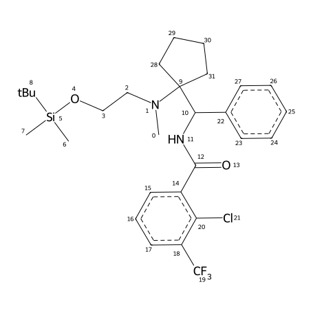 CN(CCO[Si](C)(C)C(C)(C)C)C1(C(NC(=O)c2cccc(C(F)(F)F)c2Cl)c2ccccc2)CCCC1